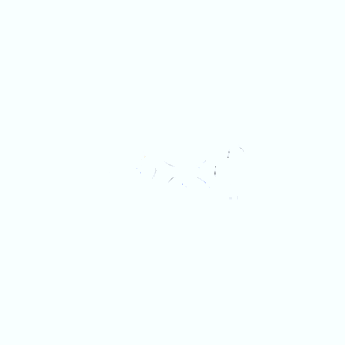 CCCOc1nc(Nc2ccc(S(C)(=O)=NC(=O)OCC)cc2)ncc1-c1cccs1